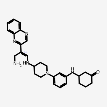 NC/C(=C\NC1CCN(c2cccc(NC3CCCC(=O)C3)c2)CC1)c1cnc2ccccc2n1